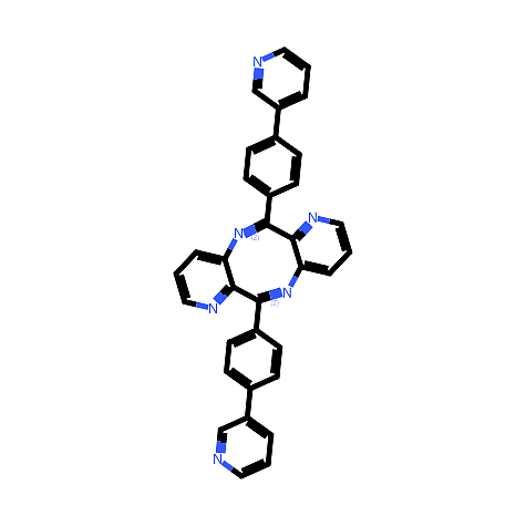 c1cncc(-c2ccc(/C3=N/c4cccnc4/C(c4ccc(-c5cccnc5)cc4)=N\c4cccnc43)cc2)c1